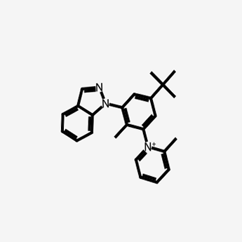 Cc1c(-n2ncc3ccccc32)cc(C(C)(C)C)cc1-[n+]1ccccc1C